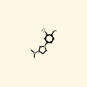 CC(C)c1ccc(N2CC[C@@H](N(C)C)C2)cc1C(F)(F)F